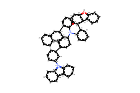 c1cc(-c2ccc(N(c3ccccc3-c3ccc4ccccc4c3)c3ccccc3-c3cccc4oc5ccccc5c34)cc2)cc(-n2c3ccccc3c3ccccc32)c1